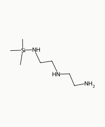 C[Si](C)(C)NCCNCCN